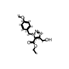 CCOC(=O)c1c(CO)nnn1Cc1ccc(OC)cc1